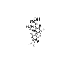 Cc1cc(-c2c(C)cc(C3CC3)c(F)c2C)c(F)c(C(N)CC(=O)O)c1F